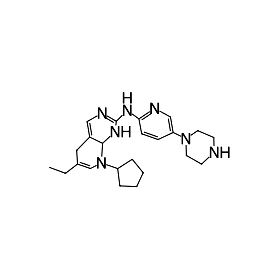 CCC1=CN(C2CCCC2)C2NC(Nc3ccc(N4CCNCC4)cn3)=NC=C2C1